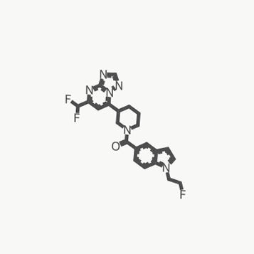 O=C(c1ccc2c(ccn2CCF)c1)N1CCCC(c2cc(C(F)F)nc3ncnn23)C1